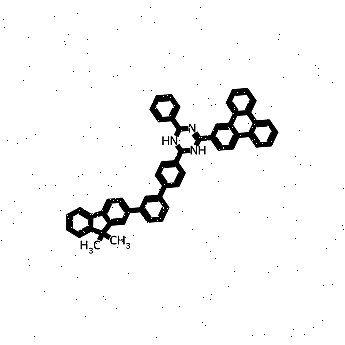 CC1(C)c2ccccc2-c2ccc(-c3cccc(-c4ccc(C5NC(c6ccc7c8ccccc8c8ccccc8c7c6)=NC(c6ccccc6)N5)cc4)c3)cc21